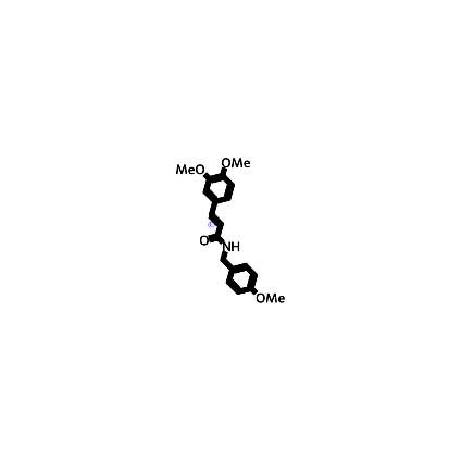 COc1ccc(CNC(=O)/C=C/c2ccc(OC)c(OC)c2)cc1